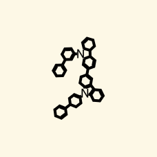 C1=CC(C2C=C(N3C4C=C(C5=Cc6c7c(n(C8=CCC(C9=CCCC=C9)CC8)c6CC5)CCC=C7)C=CC4C4CCC=CC43)C=CC2)=CCC1